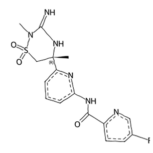 CN1C(=N)N[C@](C)(c2cccc(NC(=O)c3ccc(F)cn3)n2)CS1(=O)=O